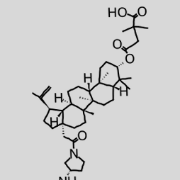 C=C(C)[C@@H]1CC[C@]2(CC(=O)N3CC[C@H](NC)C3)CC[C@]3(C)[C@H](CC[C@@H]4[C@@]5(C)CC[C@H](OC(=O)CC(C)(C)C(=O)O)C(C)(C)[C@@H]5CC[C@]43C)[C@@H]12